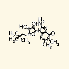 C=P(C)(C)CC[C@H]1O[C@@H](n2c(N)nc3c(=O)n(C)c(C)nc32)[C@H](O)[C@@H]1O